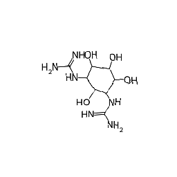 N=C(N)NC1C(O)C(O)C(O)C(NC(=N)N)C1O